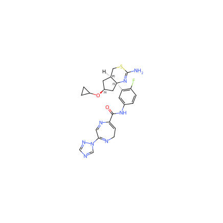 NC1=N[C@@]2(c3cc(NC(=O)C4=CCN=C(n5cncn5)C=N4)ccc3F)C[C@@H](OC3CC3)C[C@H]2CS1